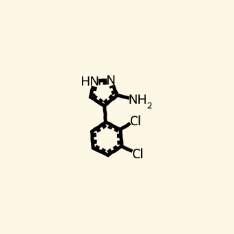 Nc1n[nH]cc1-c1cccc(Cl)c1Cl